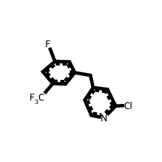 Fc1cc(Cc2ccnc(Cl)c2)cc(C(F)(F)F)c1